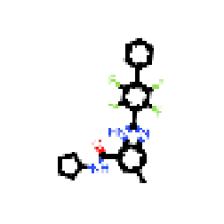 Cc1cc(C(=O)NC2CCCC2)c2[nH]c(-c3c(F)c(F)c(-c4ccccc4)c(F)c3F)nc2c1